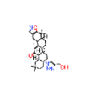 CC1(C)CC[C@]2(n3cc(CO)nn3)CC[C@]3(C)[C@H](C(=O)C=C4[C@@]5(C)Cc6cnoc6C(C)(C)[C@@H]5CC[C@]43C)[C@@H]2C1